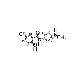 CNc1ccc(NC(=O)c2cc(Cl)ccc2O)cc1